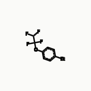 CCc1ccc(OC(F)(F)C(F)F)cc1